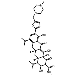 CN1CCN(Cc2ccc(-c3cc(N(C)C)c4c(c3O)C(=O)C3=C(O)[C@]5(O)C(=O)C(C(N)=O)C(O)[C@@H](N(C)C)[C@@H]5C[C@@H]3C4)o2)CC1